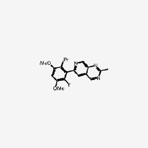 COc1cc(OC)c(C(C)C)c(-c2cc3cnc(C)nc3cn2)c1F